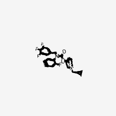 O=C(OC1C[N+]2(CC3CC3)CCC1CC2)N(Cc1cc(F)c(F)c(F)c1)c1ccccc1F